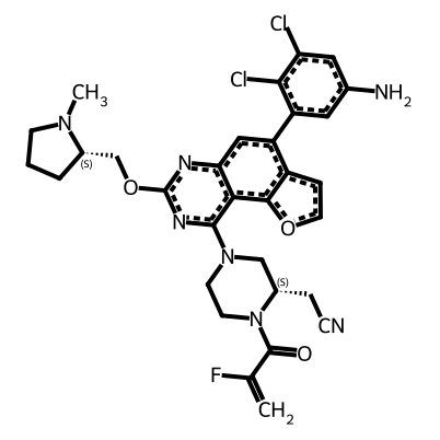 C=C(F)C(=O)N1CCN(c2nc(OC[C@@H]3CCCN3C)nc3cc(-c4cc(N)cc(Cl)c4Cl)c4ccoc4c23)C[C@@H]1CC#N